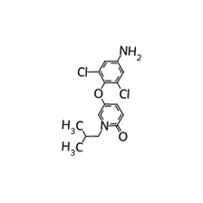 CC(C)Cn1cc(Oc2c(Cl)cc(N)cc2Cl)ccc1=O